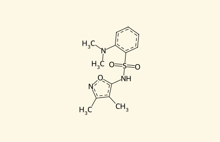 Cc1noc(NS(=O)(=O)c2ccccc2N(C)C)c1C